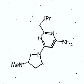 CN[C@@H]1CCN(c2cc(N)nc(CC(C)C)n2)C1